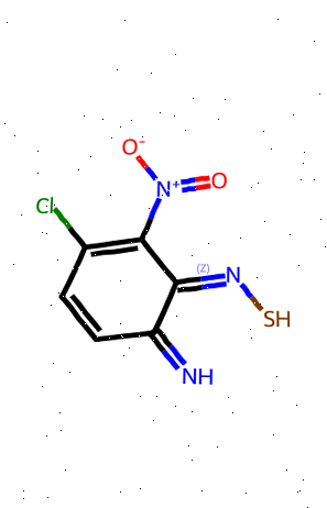 N=C1C=CC(Cl)=C([N+](=O)[O-])/C1=N/S